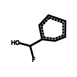 OC(F)c1ccccc1